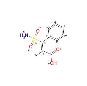 C/C(C(=O)O)=C(/c1ccccc1)S(N)(=O)=O